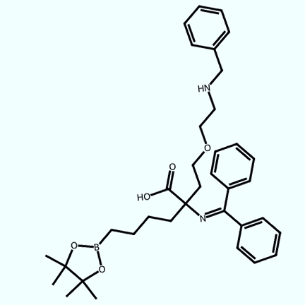 CC1(C)OB(CCCCC(CCOCCNCc2ccccc2)(N=C(c2ccccc2)c2ccccc2)C(=O)O)OC1(C)C